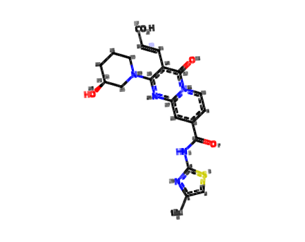 CC(C)(C)c1csc(NC(=O)c2ccn3c(=O)c(/C=C/C(=O)O)c(N4CCC[C@H](O)C4)nc3c2)n1